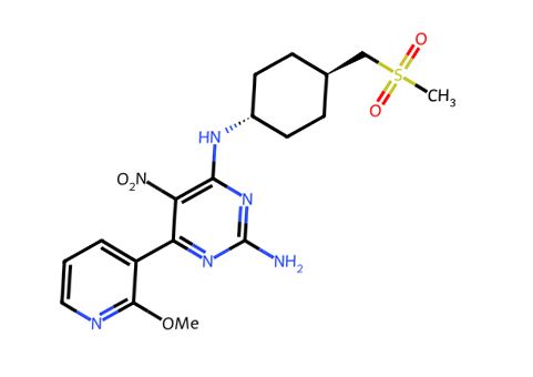 COc1ncccc1-c1nc(N)nc(N[C@H]2CC[C@H](CS(C)(=O)=O)CC2)c1[N+](=O)[O-]